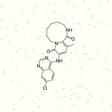 Cc1cc(Nc2ncnc3cc(Cl)ccc23)c(=O)n2c1C(=O)NCCCCCC2